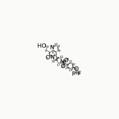 O=C(C(CCO)c1ccccn1)N1CC2=C(C1)CN(S(=O)(=O)c1ccc(OC(F)F)cc1)C2